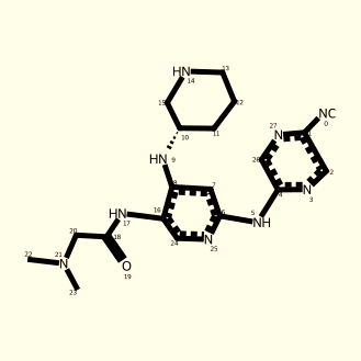 [C-]#[N+]c1cnc(Nc2cc(N[C@H]3CCCNC3)c(NC(=O)CN(C)C)cn2)cn1